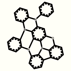 c1ccc(N2c3ccccc3B3c4ccccc4N4c5cccc6c5B5c7c(cccc7-6)Oc6cc2c3c4c65)cc1